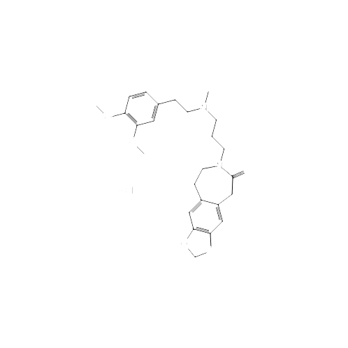 COc1ccc(CCN(C)CCCN2CCc3cc4c(cc3CC2=O)OCO4)cc1OC.Cl